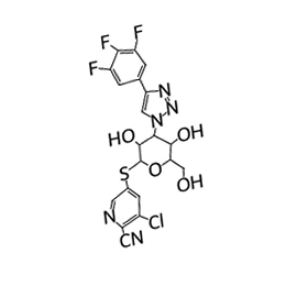 N#Cc1ncc(SC2OC(CO)C(O)C(n3cc(-c4cc(F)c(F)c(F)c4)nn3)C2O)cc1Cl